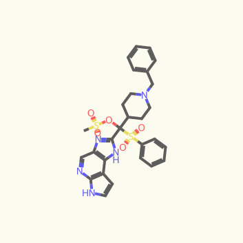 CS(=O)(=O)OC(c1nc2cnc3[nH]ccc3c2[nH]1)(C1CCN(Cc2ccccc2)CC1)S(=O)(=O)c1ccccc1